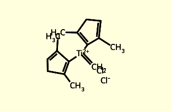 [CH2]=[Ti+2]([C]1=C(C)CC=C1C)[C]1=C(C)CC=C1C.[Cl-].[Cl-]